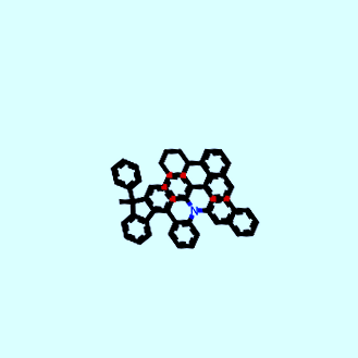 CC1(c2ccccc2)c2ccccc2-c2c(-c3ccccc3N(c3ccc4ccccc4c3)c3ccccc3-c3cccc4cccc(C5CCCCC5)c34)cccc21